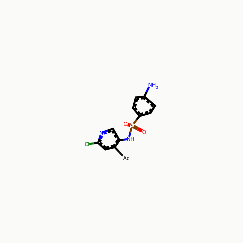 CC(=O)c1cc(Cl)ncc1NS(=O)(=O)c1ccc(N)cc1